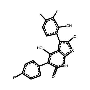 Cc1ccc(-c2c(Cl)sc3[nH]c(=O)c(-c4ccc(F)cc4)c(O)c23)c(O)c1F